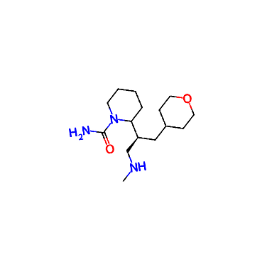 CNC[C@H](CC1CCOCC1)C1CCCCN1C(N)=O